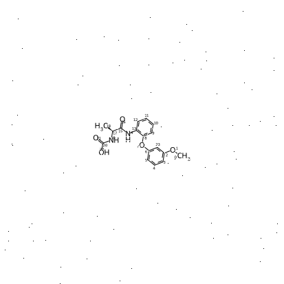 COc1cccc(Oc2ccccc2NC(=O)[C@H](C)NC(=O)O)c1